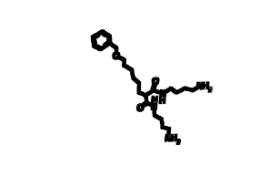 NCCCCNC(=O)C(CCCCCCOCc1ccccc1)C(=O)NCCCCN